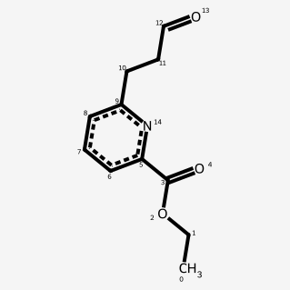 CCOC(=O)c1cccc(CCC=O)n1